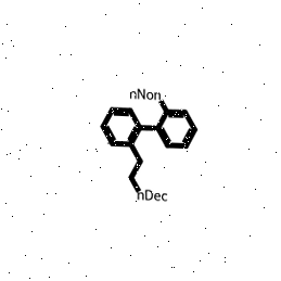 CCCCCCCCCCCCc1[c]cccc1-c1ccccc1CCCCCCCCC